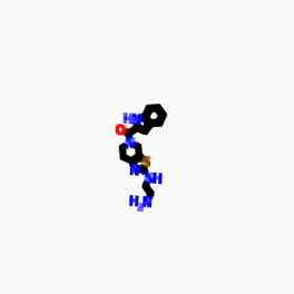 NCCNc1nc2c(s1)CN(C(=O)c1cc3ccccc3[nH]1)CC2